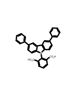 O=C(O)c1cccc(C(=O)O)c1-n1c2ccc(-c3ccccc3)cc2c2cc(-c3ccccc3)ccc21